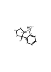 CC1(c2ccccc2Cl)CCCN1.Cl